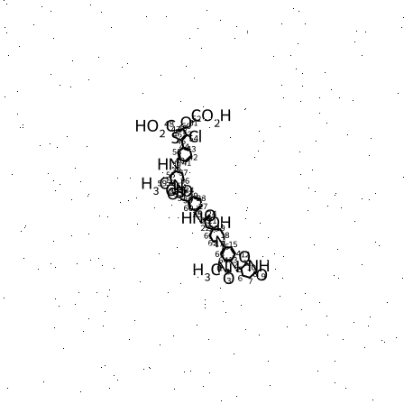 Cn1c(=O)n(C2CCC(=O)NC2=O)c2ccc(N3CCC(O)(CC(=O)Nc4cccc(CS(=O)(=O)N5CC[C@@H](Nc6cccc(-c7sc(C(=O)O)c(OCC(=O)O)c7Cl)c6)CC5(C)C)c4)CC3)cc21